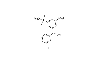 COC(F)(F)c1cc(C(=O)O)cc(C(O)c2cccc(Cl)c2)c1